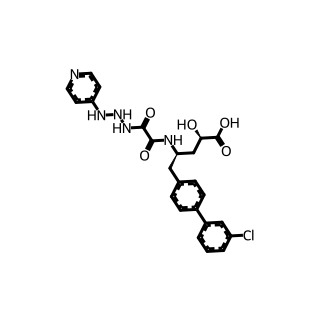 O=C(NNNc1ccncc1)C(=O)N[C@H](Cc1ccc(-c2cccc(Cl)c2)cc1)C[C@@H](O)C(=O)O